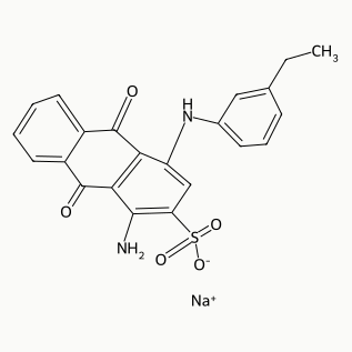 CCc1cccc(Nc2cc(S(=O)(=O)[O-])c(N)c3c2C(=O)c2ccccc2C3=O)c1.[Na+]